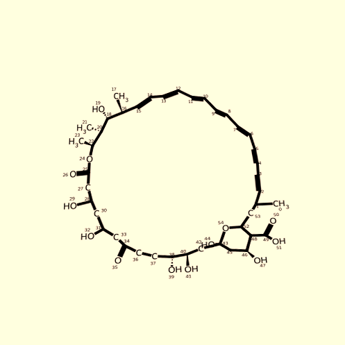 CC1/C=C/C=C/C=C/C=C/C=C/C=C/C=C/[C@H](C)[C@@H](O)[C@@H](C)[C@H](C)OC(=O)CC(O)CC(O)CC(=O)CC[C@@H](O)[C@H](O)CC2(O)C[C@H](O)C(C(=O)O)C(C1)O2